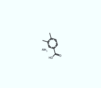 Cc1ccc(C(=O)O)cc1C.[AlH3]